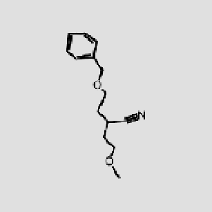 COCCC(C#N)CCOCc1ccccc1